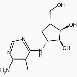 Cc1c(N)ncnc1N[C@@H]1C[C@H](CO)[C@@H](O)[C@H]1O